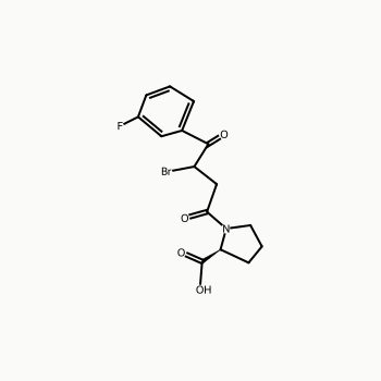 O=C(c1cccc(F)c1)C(Br)CC(=O)N1CCC[C@H]1C(=O)O